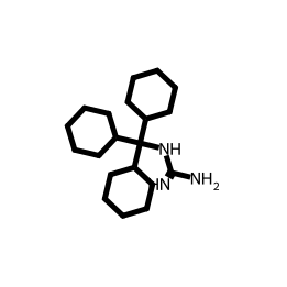 N=C(N)NC(C1CCCCC1)(C1CCCCC1)C1CCCCC1